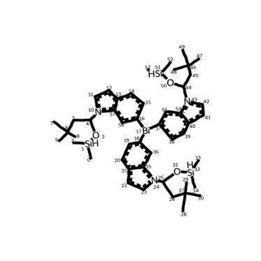 C[SiH](C)OC(CC(C)(C)C)n1ccc2cc[c]([Bi]([c]3ccc4ccn(C(CC(C)(C)C)O[SiH](C)C)c4c3)[c]3ccc4ccn(C(CC(C)(C)C)O[SiH](C)C)c4c3)cc21